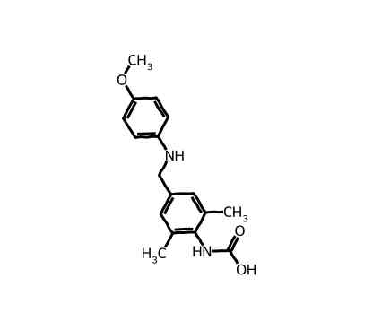 COc1ccc(NCc2cc(C)c(NC(=O)O)c(C)c2)cc1